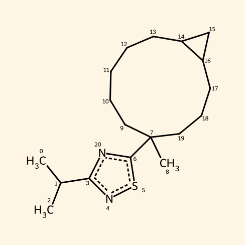 CC(C)c1nsc(C2(C)CCCCCC3CC3CCC2)n1